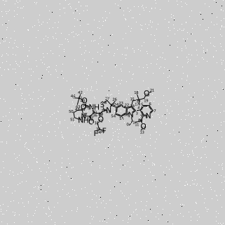 CCn1c(-c2cccnc2[C@H](C)OC)c(CC(C)(C)COC)c2cc(C3(C)CSC([C@@H](OCC(F)F)[C@H](NC(=O)OC(C)(C)C)C(=O)N4CCCCN4)=N3)ccc21